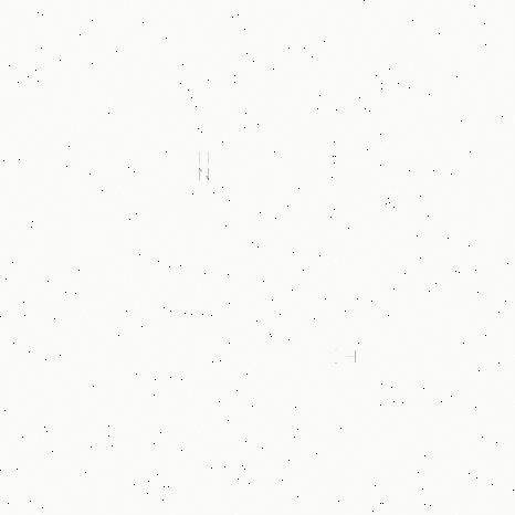 OCC1C=CCC2NCCCC12